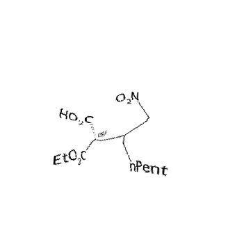 CCCCCC(C[N+](=O)[O-])[C@@H](C(=O)O)C(=O)OCC